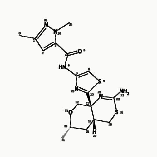 Cc1cc(C(=O)Nc2csc([C@]34CO[C@@H](C)C[C@H]3CSC(N)=N4)n2)n(C)n1